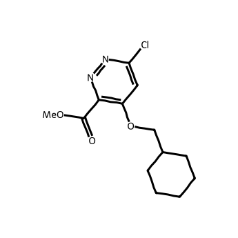 COC(=O)c1nnc(Cl)cc1OCC1CCCCC1